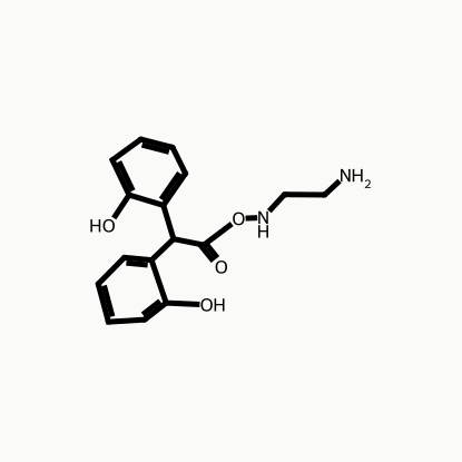 NCCNOC(=O)C(c1ccccc1O)c1ccccc1O